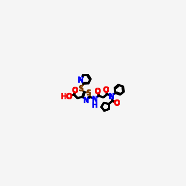 O=C(O)Cc1nc(NC(=O)CC(=O)N(C(=O)C2CCCC2)c2ccccc2)sc1Sc1ccccn1